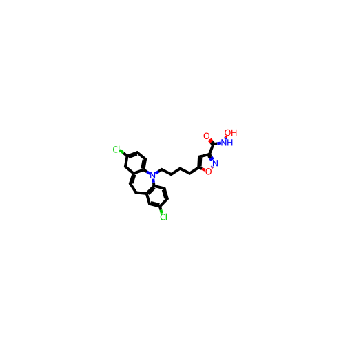 O=C(NO)c1cc(CCCCN2C3=CC=C(Cl)CC3=CCc3cc(Cl)ccc32)on1